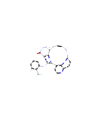 C[C@@H]1/C=C\C[C@H]2CNC(=O)c3c2[nH]c(c3Nc2cccc(F)c2C(F)F)-c2ccnc3ccc(nc23)N1